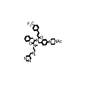 CC(=O)N1CCN(c2ccc(CN(C(=O)C=Cc3ccc(C(F)(F)F)cc3)[C@@H](Cc3ccccc3)C(=O)N(C)CCN(C)Cc3cncnc3)cc2)CC1